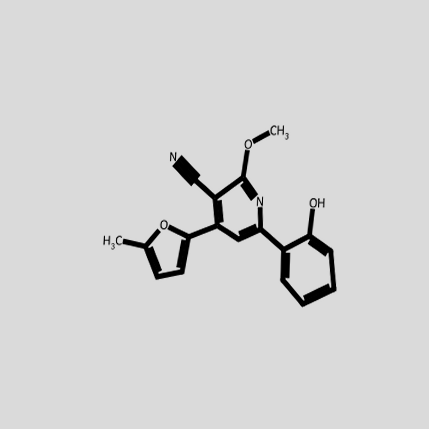 COc1nc(-c2ccccc2O)cc(-c2ccc(C)o2)c1C#N